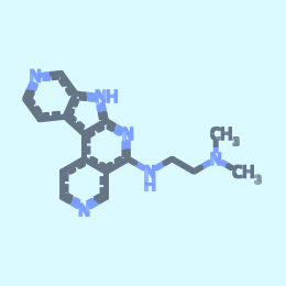 CN(C)CCNc1nc2[nH]c3cnccc3c2c2ccncc12